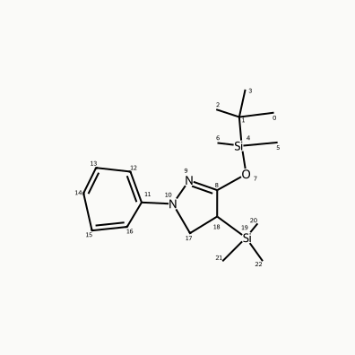 CC(C)(C)[Si](C)(C)OC1=NN(c2ccccc2)CC1[Si](C)(C)C